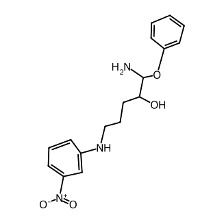 NC(Oc1ccccc1)C(O)CCCNc1cccc([N+](=O)[O-])c1